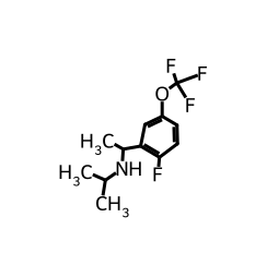 CC(C)NC(C)c1cc(OC(F)(F)F)ccc1F